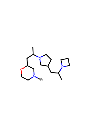 CC(C)N1CCOC(CC(C)N2CCC(CC(C)N3CCC3)C2)C1